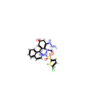 NNC1=C(N(C=O)NS(=O)(=O)c2ccc(Cl)s2)C(C2NC=Cc3ccccc32)=CC(=O)C1